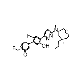 CCC[C@]1(C)CCCC[C@H](N(C)c2ccc(-c3cc(F)c(-c4ccn(CF)c(=O)c4)cc3O)nn2)C1